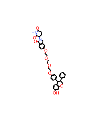 O=C1CCC(N2Cc3cc(OCCOCCOCCOc4ccc(C5c6ccc(O)cc6OCC5c5ccccc5)cc4)ccc3C2=O)C(=O)N1